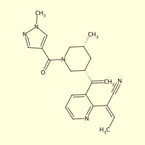 C=C(c1cccnc1/C(C#N)=C\C)[C@H]1C[C@@H](C)CN(C(=O)c2cnn(C)c2)C1